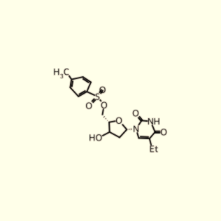 CCc1cn([C@@H]2CC(O)[C@H](COS(=O)(=O)c3ccc(C)cc3)O2)c(=O)[nH]c1=O